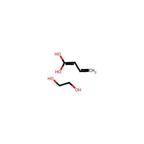 C=CC=C(O)O.OCCO